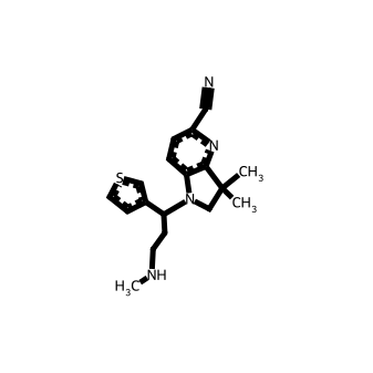 CNCCC(c1ccsc1)N1CC(C)(C)c2nc(C#N)ccc21